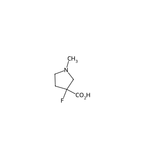 CN1CCC(F)(C(=O)O)C1